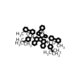 Cc1cccc2c1oc1c(N(c3ccc(C(C)(C)C)cc3)c3cc4c(c5ccccc35)-c3c(cc(N(c5ccc(C(C)(C)C)cc5)c5cccc6c5oc5c(C)cccc56)c5ccccc35)C43c4ccccc4-n4c5ccccc5c5cccc3c54)cccc12